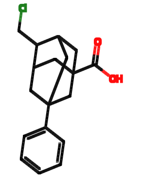 O=C(O)C12CC3CC(c4ccccc4)(CC(C1)C3CCl)C2